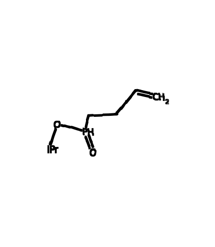 C=CCC[PH](=O)OC(C)C